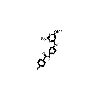 COc1cc(Nc2ccc(NC(=O)c3ccc(F)cc3)cc2)nc(C(F)(F)F)n1